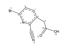 N#Cc1nc(Br)ccc1CC(=O)O